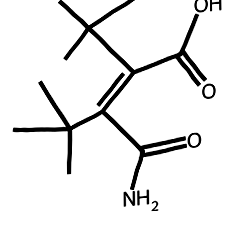 CC(C)(C)/C(C(N)=O)=C(/C(=O)O)C(C)(C)C